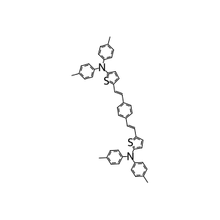 Cc1ccc(N(c2ccc(C)cc2)c2ccc(/C=C/c3ccc(/C=C/c4ccc(N(c5ccc(C)cc5)c5ccc(C)cc5)s4)cc3)s2)cc1